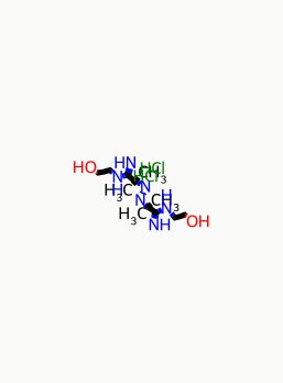 CC(C)(N=NC(C)(C)C(=N)NCCO)C(=N)NCCO.Cl.Cl